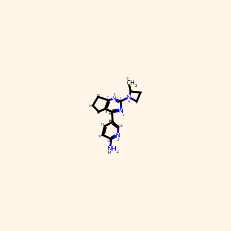 CC1CCN1c1nc2c(c(-c3ccc(N)nc3)n1)CCC2